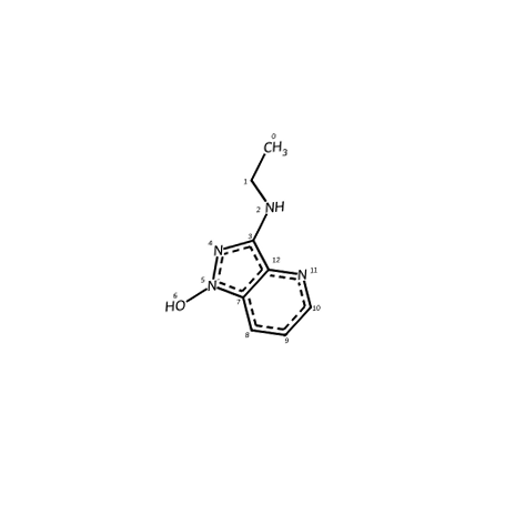 CCNc1nn(O)c2cccnc12